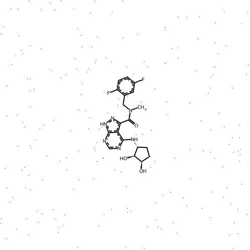 CN(Cc1cc(F)ccc1F)C(=O)c1n[nH]c2ncnc(N[C@@H]3CC[C@@H](O)[C@H]3O)c12